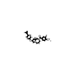 O=C(c1ccc(C(F)(F)F)c(F)c1)N1CCCN2C[C@@H](Oc3cnc(C4CC4)cn3)C[C@H]2C1